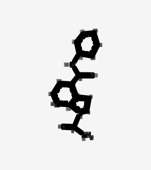 NC(=O)n1ccc2c(C(=O)Oc3ccccc3)ccnc21